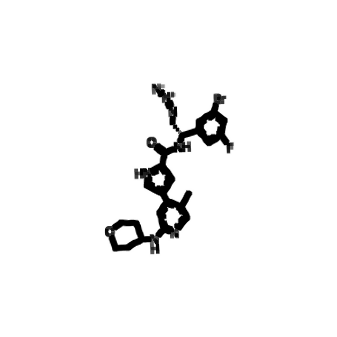 Cc1cnc(NC2CCOCC2)cc1-c1c[nH]c(C(=O)N[C@H](CN=[N+]=[N-])c2cc(F)cc(Br)c2)c1